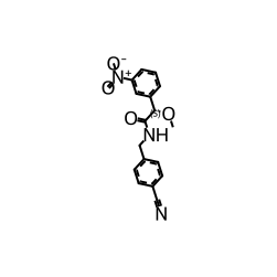 CO[C@H](C(=O)NCc1ccc(C#N)cc1)c1cccc([N+](=O)[O-])c1